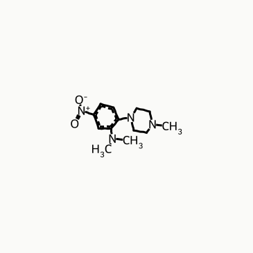 CN1CCN(c2ccc([N+](=O)[O-])cc2N(C)C)CC1